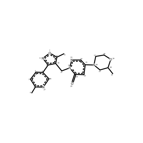 Cc1ccc(-c2noc(C)c2Cn2ncc(N3CCOC(C)C3)cc2=O)cn1